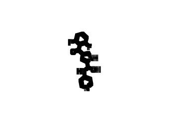 O=C(c1c[nH]c(C(O)Nc2ccncc2)c1)c1c(F)cccc1F